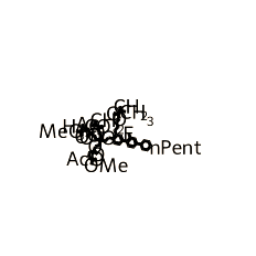 C=C(C)C(=O)OCCCc1cc(-c2ccc(C3CCC(CCCCC)CC3)cc2F)ccc1OCC(COC(=O)CC(C(C)=O)C(=O)OC)(COC(=O)CC(C(C)=O)C(=O)OC)COC(=O)C(=C)C